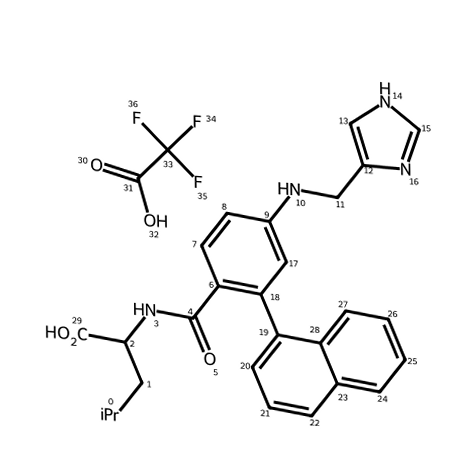 CC(C)CC(NC(=O)c1ccc(NCc2c[nH]cn2)cc1-c1cccc2ccccc12)C(=O)O.O=C(O)C(F)(F)F